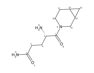 NC(=O)CC[C@H](N)C(=O)N1CCC2CC2C1